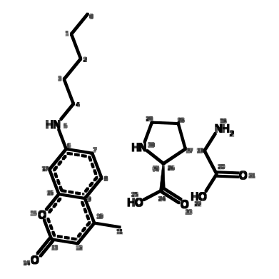 CCCCCNc1ccc2c(C)cc(=O)oc2c1.NCC(=O)O.O=C(O)[C@@H]1CCCN1